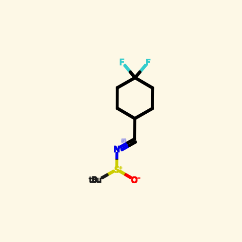 CC(C)(C)[S+]([O-])/N=C/C1CCC(F)(F)CC1